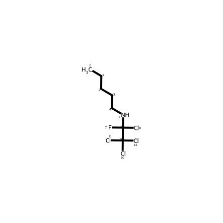 CCCCCNC(F)(Cl)C(Cl)(Cl)Cl